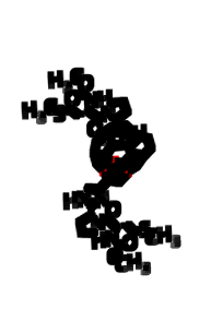 COC(=O)N[C@@H](CCSC)C(=O)N1CCC[C@H]1c1nc(-c2ccc(C3=C4CCC(=C3)CCC=Cc3ccc(cc3-c3c[nH]c([C@@H]5CCCN5C(=O)[C@H](CCSC)NC(=O)OC)n3)CC4)cc2)c[nH]1